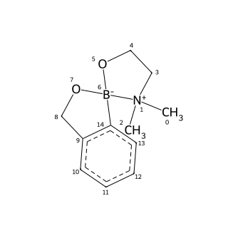 C[N+]1(C)CCO[B-]12OCc1ccccc12